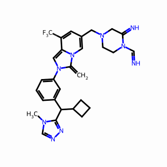 C=C1N2C=C(CN3CCN(C=N)C(=N)C3)C=C(C(F)(F)F)C2=CN1c1cccc(C(c2nncn2C)C2CCC2)c1